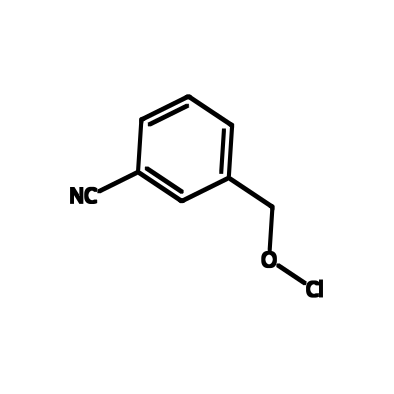 N#Cc1cccc(COCl)c1